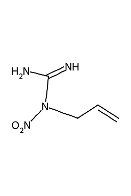 C=CCN(C(=N)N)[N+](=O)[O-]